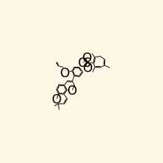 C=CCOc1cc(OS(=O)(=O)C2=C(C)CC=C(C)C=C2C)ccc1C1=Cc2ccc3c(c2OC1)C=CC(C)(C)O3